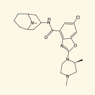 C[C@H]1CN(C)CCN1c1nc2c(C(=O)NC3CC4CCCC(C3)N4C)cc(Cl)cc2o1